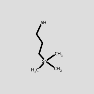 [CH3][Sn]([CH3])([CH3])[CH2]CCS